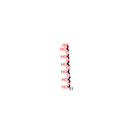 CCC(O)COCC(O)COCC(O)COCC(O)COCC(O)COCC(O)CO